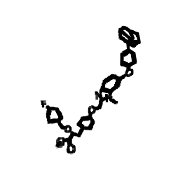 COC(=O)C(Cc1ccc(OCc2nc3ccc(Oc4ccc(C56CC7CC(CC(C7)C5)C6)cc4)cc3n2C)cc1)OCc1ccc(F)cc1